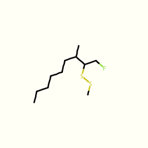 CCCCCCC(C)C(CF)SSC